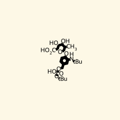 CC1C(Oc2ccc(COP(=O)(O)OC(C)(C)C)cc2NC(C)(C)C)OC(C(=O)O)C(O)C1O